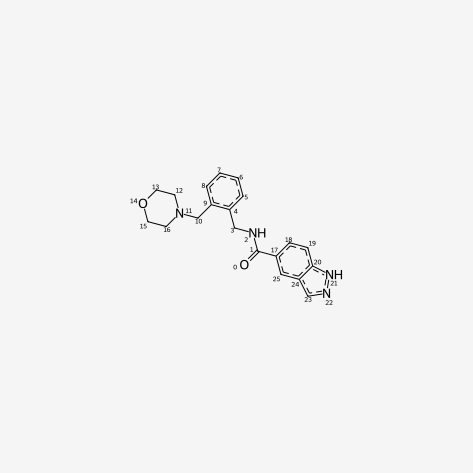 O=C(NCc1ccccc1CN1CCOCC1)c1ccc2[nH]ncc2c1